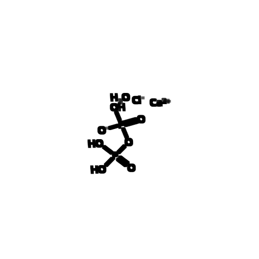 O.O=P([O-])(O)OP(=O)(O)O.[Ca+2].[Cl-]